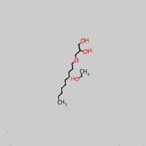 CCCCCCCCCCOCC(O)CO.CCO